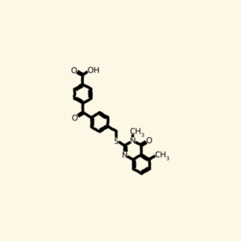 Cc1cccc2nc(SCc3ccc(C(=O)c4ccc(C(=O)O)cc4)cc3)n(C)c(=O)c12